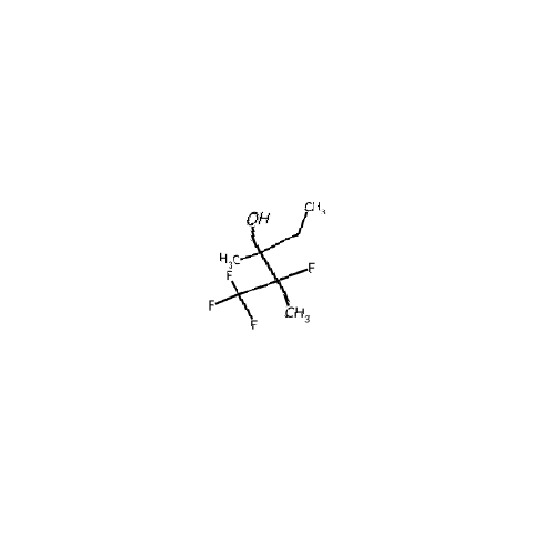 CCC(C)(O)C(C)(F)C(F)(F)F